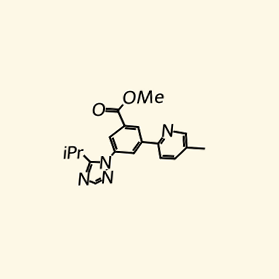 COC(=O)c1cc(-c2ccc(C)cn2)cc(-n2ncnc2C(C)C)c1